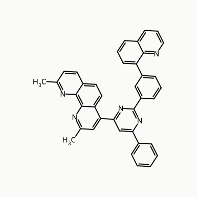 Cc1ccc2ccc3c(-c4cc(-c5ccccc5)nc(-c5cccc(-c6cccc7cccnc67)c5)n4)cc(C)nc3c2n1